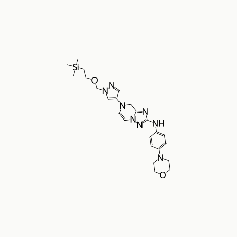 C[Si](C)(C)CCOCn1cc(N2C=Cn3nc(Nc4ccc(N5CCOCC5)cc4)nc3C2)cn1